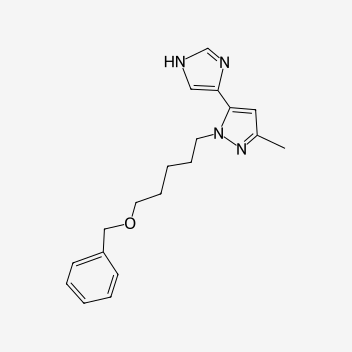 Cc1cc(-c2c[nH]cn2)n(CCCCCOCc2ccccc2)n1